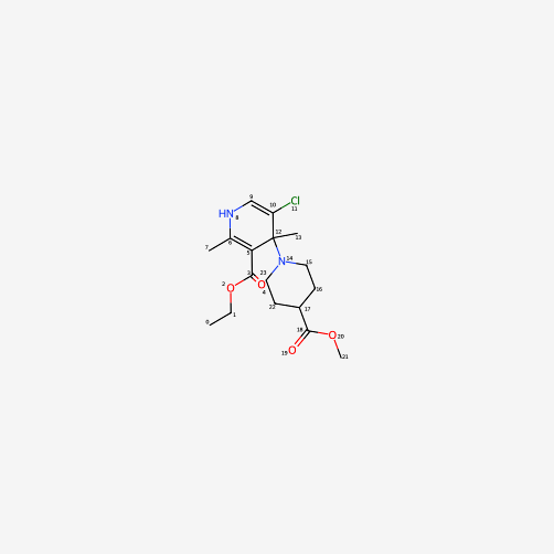 CCOC(=O)C1=C(C)NC=C(Cl)C1(C)N1CCC(C(=O)OC)CC1